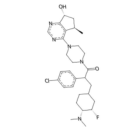 C[C@@H]1C[C@@H](O)c2ncnc(N3CCN(C(=O)C(CC4CC[C@@H](N(C)C)[C@@H](F)C4)c4ccc(Cl)cc4)CC3)c21